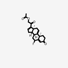 CC(=O)OCC(=O)C1=CC[C@H]2[C@@H]3CC(F)C4=CC(=O)CC[C@]4(C)C3=CC[C@]12C